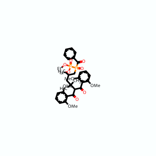 CCOP(=O)(OCC)P(=O)(CC(C)CC(C)(C)C(C(=O)c1c(OC)cccc1OC)C(=O)c1c(OC)cccc1OC)C(=O)c1ccccc1